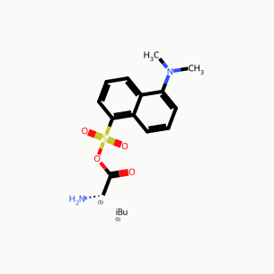 CC[C@H](C)[C@H](N)C(=O)OS(=O)(=O)c1cccc2c(N(C)C)cccc12